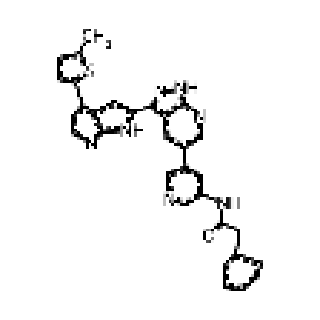 Cc1ccc(-c2ccnc3[nH]c(-c4n[nH]c5ncc(-c6cncc(NC(=O)Cc7ccccc7)c6)cc45)cc23)s1